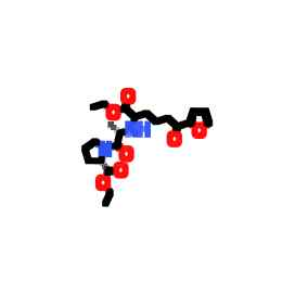 CCOC(=O)C(CCCC(=O)c1ccco1)N[C@@H](C)C(=O)N1CCC[C@H]1C(=O)OCC